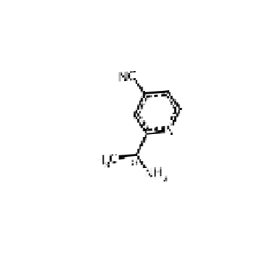 C[C@H](N)c1cc(C#N)ccn1